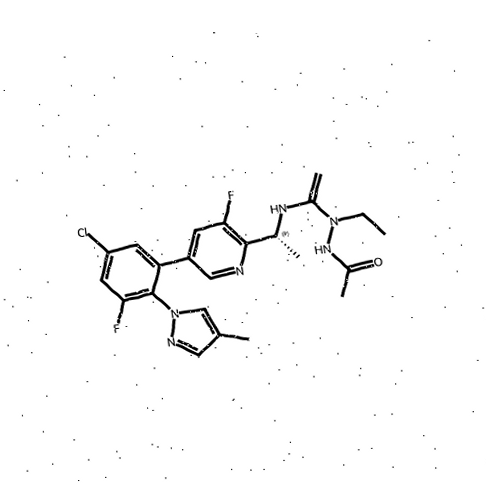 C=C(N[C@H](C)c1ncc(-c2cc(Cl)cc(F)c2-n2cc(C)cn2)cc1F)N(CC)NC(C)=O